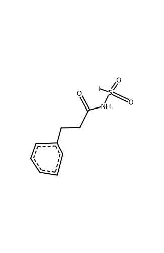 O=C(CCc1ccccc1)NS(=O)(=O)I